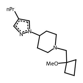 CCCc1cnn(C2CCN(CC3(OC)CCC3)CC2)c1